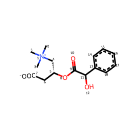 C[N+](C)(C)C[C@@H](CC(=O)[O-])OC(=O)C(O)c1ccccc1